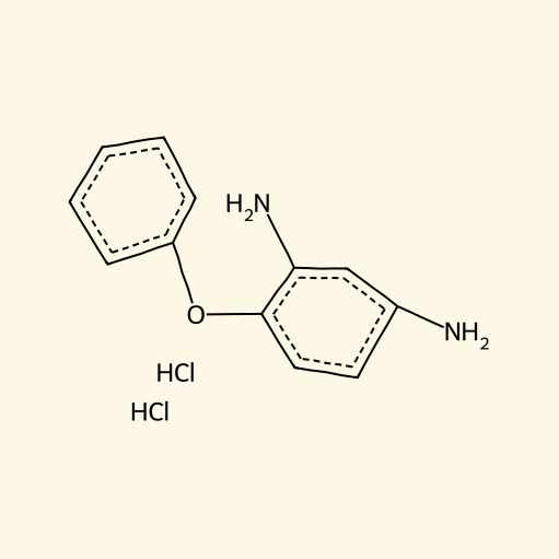 Cl.Cl.Nc1ccc(Oc2ccccc2)c(N)c1